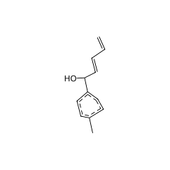 C=CC=CC(O)c1ccc(C)cc1